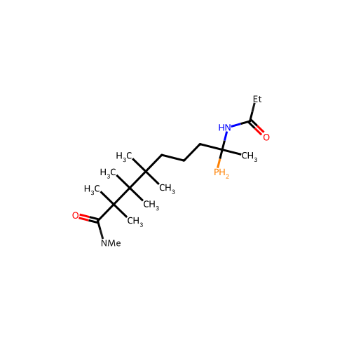 CCC(=O)NC(C)(P)CCCC(C)(C)C(C)(C)C(C)(C)C(=O)NC